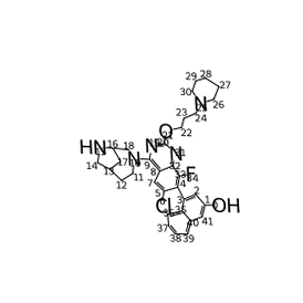 Oc1cc(-c2c(Cl)cc3c(N4CCC5CNC(C5)C4)nc(OCCCN4CCCCC4)nc3c2F)c2ccccc2c1